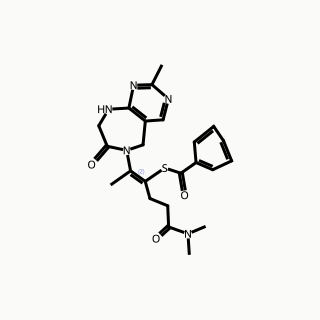 C/C(=C(\CCC(=O)N(C)C)SC(=O)c1ccccc1)N1Cc2cnc(C)nc2NCC1=O